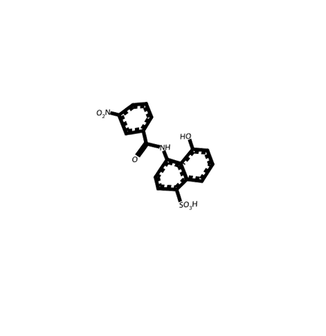 O=C(Nc1ccc(S(=O)(=O)O)c2cccc(O)c12)c1cccc([N+](=O)[O-])c1